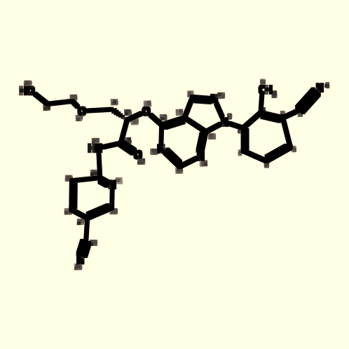 Cc1c(C#N)cccc1-n1ncc2c(O[C@@H](COCCO)C(=O)Nc3ccc(C#N)cn3)ncnc21